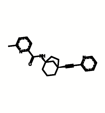 Cc1cccc(C(=O)N[C@@]23CCC[C@@](C#Cc4ccccn4)(CC2)C3)n1